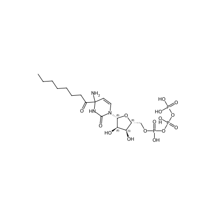 CCCCCCCC(=O)C1(N)C=CN([C@@H]2O[C@H](COP(=O)(O)OP(=O)(O)OP(=O)(O)O)[C@@H](O)[C@H]2O)C(=O)N1